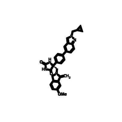 C=C1c2cc(OC)ccc2CN1C[C@@]1(c2ccc(-c3ccc4nn(CC5CC5)cc4c3)cc2)NC(=O)NC1=O